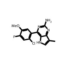 COc1cc(-c2nc(N)nc3c(C)c[nH]c23)c(Cl)cc1F